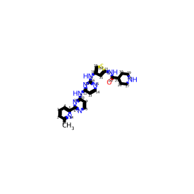 Cc1cccc(-c2nccc(Nc3ccnc(Nc4csc(NC(=O)C5CCNCC5)c4)n3)n2)n1